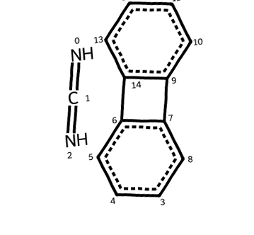 N=C=N.c1ccc2c(c1)-c1ccccc1-2